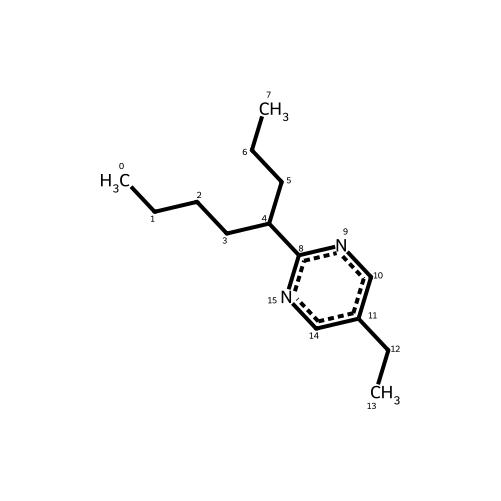 CCCCC(CCC)c1ncc(CC)cn1